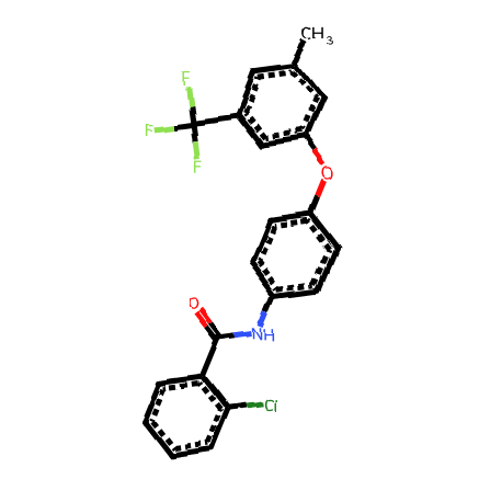 Cc1cc(Oc2ccc(NC(=O)c3ccccc3Cl)cc2)cc(C(F)(F)F)c1